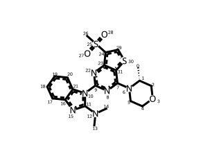 C[C@@H]1COCCN1c1nc(-n2c(N(C)C)nc3ccccc32)nc2c(S(C)(=O)=O)csc12